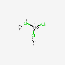 [Cl][Ho]([Cl])[Cl].[Er].[Y]